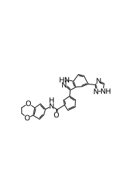 O=C(Nc1ccc2c(c1)OCCO2)c1cccc(-c2n[nH]c3ccc(-c4nc[nH]n4)cc23)c1